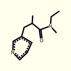 CCN(C)C(=O)C(C)Cc1cccnc1